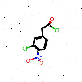 O=C(Cl)Cc1ccc([N+](=O)[O-])c(Cl)c1